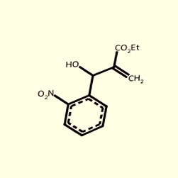 C=C(C(=O)OCC)C(O)c1ccccc1[N+](=O)[O-]